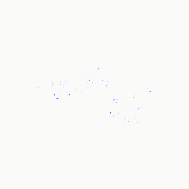 CC(C(=O)Nc1cccc(-c2cnc(N3CCCC3C(F)(F)F)nc2)n1)n1cnc2c1c(=O)n(CC#N)c(=O)n2C